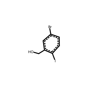 OCc1cc(Br)ccc1I